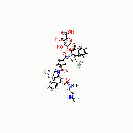 CNCCN(C)C(=O)Oc1cc2c(c3ccccc13)[C@H](CCl)CN2C(=O)c1ccc(C(=O)N2C[C@@H](CCl)c3c2cc(O[C@@H]2OC(C(=O)O)C(O)[C@@H](O)[C@@H]2O)c2ccccc32)s1